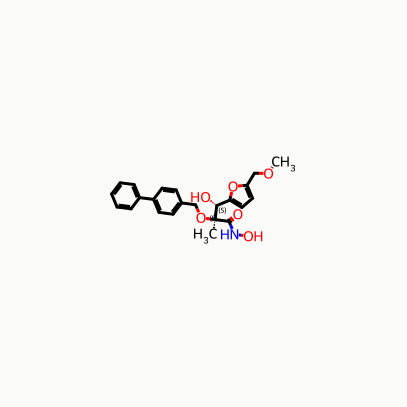 COCc1ccc([C@@H](O)[C@](C)(OCc2ccc(-c3ccccc3)cc2)C(=O)NO)o1